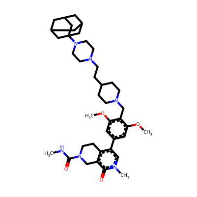 CNC(=O)N1CCc2c(-c3cc(OC)c(CN4CCC(CCN5CCN(C67CC8CC(CC(C8)C6)C7)CC5)CC4)c(OC)c3)cn(C)c(=O)c2C1